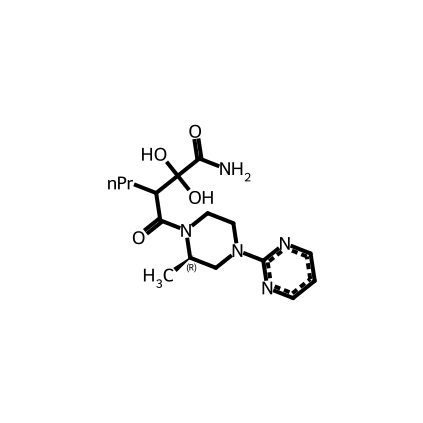 CCCC(C(=O)N1CCN(c2ncccn2)C[C@H]1C)C(O)(O)C(N)=O